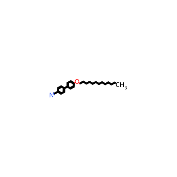 CCCCCCCCCCCCCOc1ccc(-c2ccc(C#N)cc2)cc1